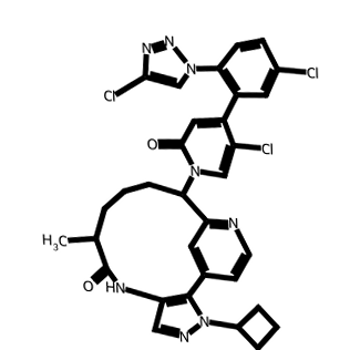 CC1CCCC(n2cc(Cl)c(-c3cc(Cl)ccc3-n3cc(Cl)nn3)cc2=O)c2cc(ccn2)-c2c(cnn2C2CCC2)NC1=O